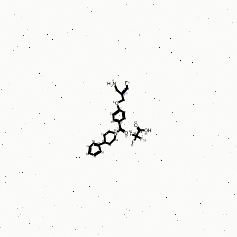 NC/C(=C\F)COc1ccc(C(=O)N2CCC(c3ccccc3)CC2)cc1.O=C(O)C(F)(F)F